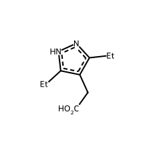 CCc1n[nH]c(CC)c1CC(=O)O